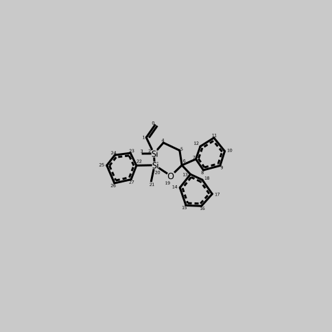 C=C[Si]1(C)CCC(c2ccccc2)(c2ccccc2)O[Si]1(C)c1ccccc1